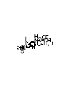 CCS(=O)(=O)C[C@@H]1CNc2cc(NC(=O)OC(C)(C)C(F)(F)F)cnc2C1